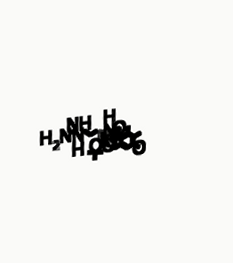 COc1cc(C)c(S(=O)(=O)N[C@@H](CCCNC(=N)N)C(=O)OC(C)(C)C)c(C)c1C